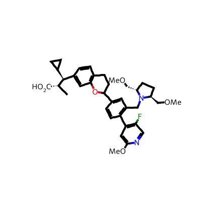 COC[C@@H]1CC[C@@H](COC)N1Cc1cc(C2CCc3ccc([C@H](C4CC4)[C@H](C)C(=O)O)cc3O2)ccc1-c1cc(OC)ncc1F